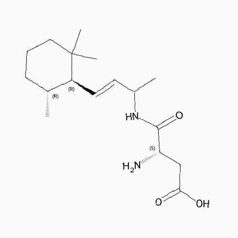 CC(C=C[C@H]1[C@H](C)CCCC1(C)C)NC(=O)[C@@H](N)CC(=O)O